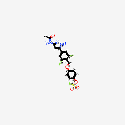 CC(=O)Nc1cc(-c2cc(F)c(COc3ccc(OS(=O)(=O)F)cc3)c(F)c2)[nH]n1